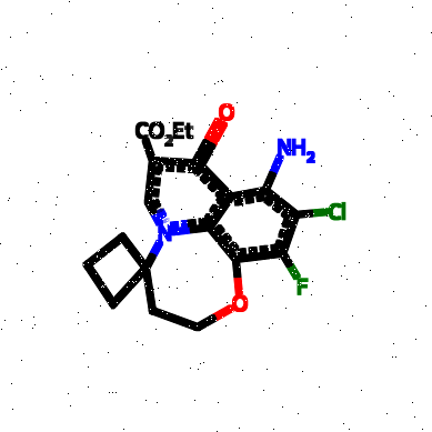 CCOC(=O)c1cn2c3c(c(F)c(Cl)c(N)c3c1=O)OCCC21CCC1